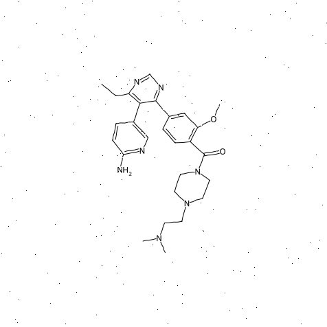 CCc1ncnc(-c2ccc(C(=O)N3CCN(CCN(C)C)CC3)c(OC)c2)c1-c1ccc(N)nc1